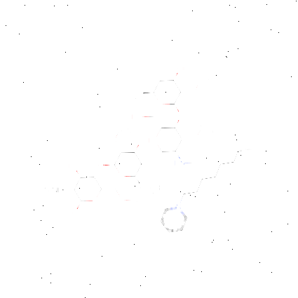 CC(=O)N[C@@H]1[C@@H](O)[C@H](O[C@@H]2O[C@H](C(=O)O)[C@@H](O[C@@H]3O[C@H](CO)[C@@H](O[C@H]4O[C@@H](C(=O)O)[C@H](O)[C@@H](O)[C@@H]4OS(=O)(=O)O)[C@H](OS(=O)(=O)O)[C@H]3NS(=O)(=O)O)[C@H](O)[C@H]2OS(=O)(=O)O)[C@H](COS(=O)(=O)O)O[C@H]1O.CCCCCCCCCCCCCCCC[n+]1ccccc1.[Cl-]